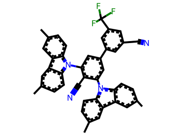 Cc1ccc2c(c1)c1cc(C)ccc1n2-c1cc(-c2cc(C#N)cc(C(F)(F)F)c2)cc(-n2c3ccc(C)cc3c3cc(C)ccc32)c1C#N